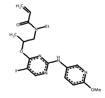 C=CC(=O)N(CC)CC(C)Oc1nc(Nc2ccc(OC)nc2)ncc1F